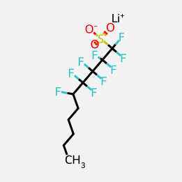 CCCCCC(F)C(F)(F)C(F)(F)C(F)(F)C(F)(F)S(=O)(=O)[O-].[Li+]